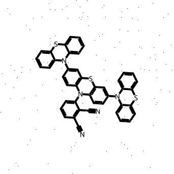 N#Cc1cccc(N2c3ccc(N4c5ccccc5Sc5ccccc54)cc3Sc3cc(N4c5ccccc5Sc5ccccc54)ccc32)c1C#N